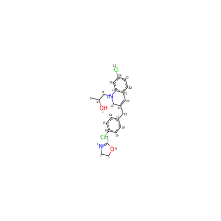 C1=NCCO1.CC(O)CN1CC(Cc2ccc(Cl)cc2)=Cc2ccc(Cl)cc21